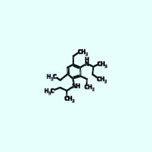 CCc1cc(CC)c(NC(C)CC)c(CC)c1NC(C)CC